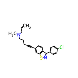 C=CCN(C)CCCC#Cc1ccc2c(-c3ccc(Cl)cc3)nsc2c1